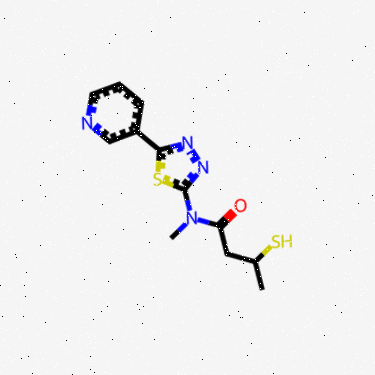 CC(S)CC(=O)N(C)c1nnc(-c2cccnc2)s1